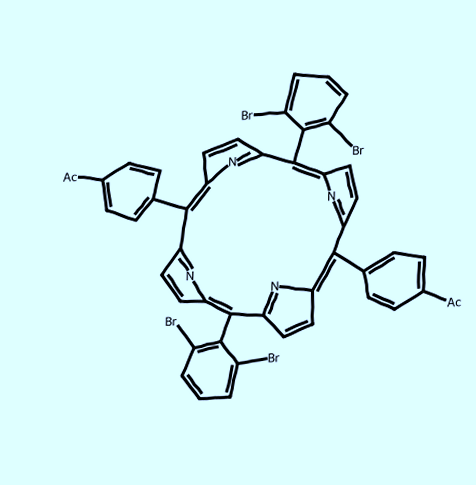 CC(=O)c1ccc(C2=C3C=CC(=N3)C(c3c(Br)cccc3Br)=C3C=CC(=N3)C(c3ccc(C(C)=O)cc3)=C3C=CC(=N3)C(c3c(Br)cccc3Br)=C3C=CC2=N3)cc1